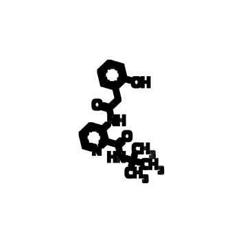 CC(C)(C)NC(=O)c1ncccc1NC(=O)Cc1ccccc1O